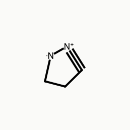 C1#[N+][N]CC1